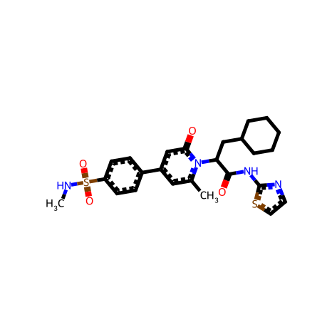 CNS(=O)(=O)c1ccc(-c2cc(C)n(C(CC3CCCCC3)C(=O)Nc3nccs3)c(=O)c2)cc1